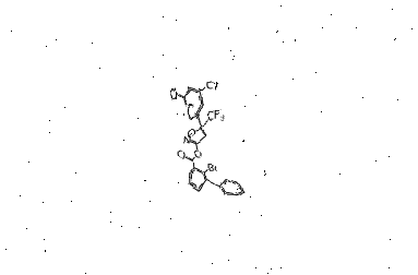 O=C(OC1=NOC(c2cc(Cl)cc(Cl)c2)(C(F)(F)F)C1)c1cccc(-c2ccccc2)c1Br